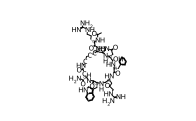 CC(=O)N[C@@H](CCCNC(=N)N)C(=O)N[C@H]1CCCCNC(=O)C[C@@H](C(N)=O)NC(=O)[C@H](Cc2c[nH]c3ccccc23)NC(=O)[C@H](CCCNC(=N)N)NC(=O)[C@@H](Cc2ccccc2)NC(O)[C@H](CC(N)=O)NC1=O